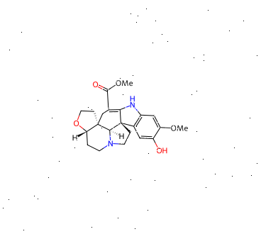 COC(=O)C1=C2Nc3cc(OC)c(O)cc3[C@@]23CCN2CC[C@@H]4OCC[C@]4(C1)[C@H]23